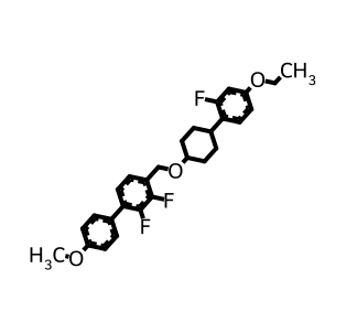 CCOc1ccc(C2CCC(OCc3ccc(-c4ccc(OC)cc4)c(F)c3F)CC2)c(F)c1